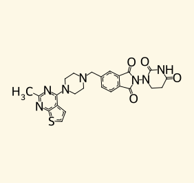 Cc1nc(N2CCN(Cc3ccc4c(c3)C(=O)N(N3CCC(=O)NC3=O)C4=O)CC2)c2ccsc2n1